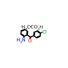 CC(=O)O.Nc1ccccc1C(=O)c1ccc(Cl)cc1